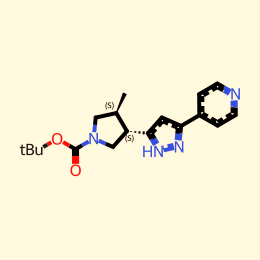 C[C@@H]1CN(C(=O)OC(C)(C)C)C[C@H]1c1cc(-c2ccncc2)n[nH]1